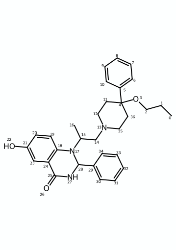 CCCOC1(c2ccccc2)CCN(CC(C)N2c3ccc(O)cc3C(=O)NC2c2ccccc2)CC1